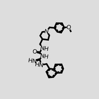 COc1ccc(CN2CCC(CNC(=O)NC(=N)NCc3cccc4ccccc34)CC2)cc1